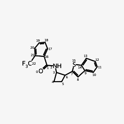 O=C(NC1CCC1c1cc2ccccc2s1)c1ccccc1C(F)(F)F